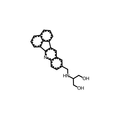 OCC(CO)NCc1ccc2nc3c(cc2c1)-c1cccc2cccc-3c12